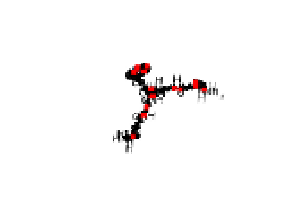 N=C1NC2CSC(CCCCC(=O)NCCCCC(=O)Nc3cc(NC(=O)CCCCNC(=O)CCCCC4SCC5NC(N)NC54)cc(C(=O)NCCC(=O)N4Cc5ccccc5/C=C\c5ccccc54)c3)C2N1